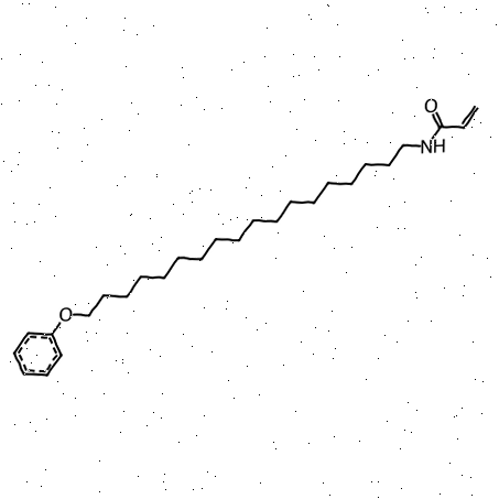 C=CC(=O)NCCCCCCCCCCCCCCCCCCOc1ccccc1